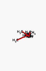 CCCCCCCCCCCCCCCCCCCCCCCCCCN[C@@H](CO[C@@H]1O[C@H](COC(=O)Nc2ccc(C(C)C)cc2)[C@H](O)[C@H](O)[C@H]1O)[C@H](O)[C@H](O)CCCCCCCCCCCCCC